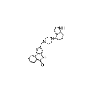 O=c1[nH]c2cc(CN3CCN(c4cccc5[nH]ccc45)CC3)cn2c2ccccc12